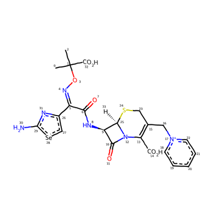 CC(C)(O/N=C(\C(=O)N[C@@H]1C(=O)N2C(C(=O)O)=C(C[n+]3ccccc3)CS[C@H]12)c1c[se]c(N)n1)C(=O)O